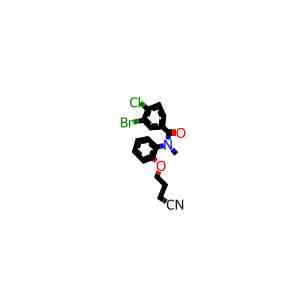 CN(C(=O)c1ccc(Cl)c(Br)c1)c1ccccc1OCCCC#N